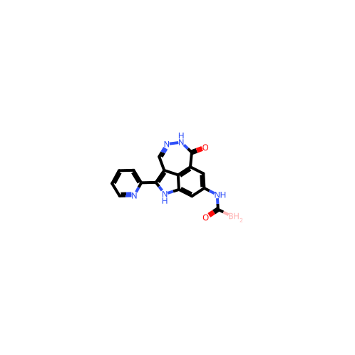 BC(=O)Nc1cc2c3c(c(-c4ccccn4)[nH]c3c1)C=NNC2=O